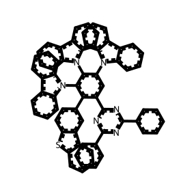 c1ccc(-c2nc(-c3ccccc3)nc(-c3cc(-n4c5ccccc5c5ccccc54)c(-n4c5ccccc5c5ccccc54)c(-n4c5ccccc5c5ccccc54)c3-c3ccc4sc5ccccc5c4c3)n2)cc1